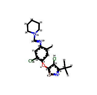 Cc1cc(Oc2snc(C(C)(C)C)c2Cl)c(Cl)cc1/N=C/N1CCCCC1